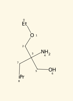 CCOCC(N)(CO)CC(C)C